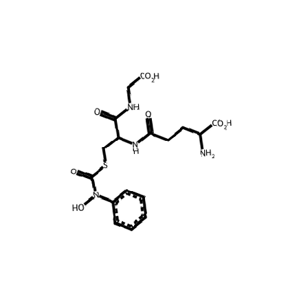 NC(CCC(=O)NC(CSC(=O)N(O)c1ccccc1)C(=O)NCC(=O)O)C(=O)O